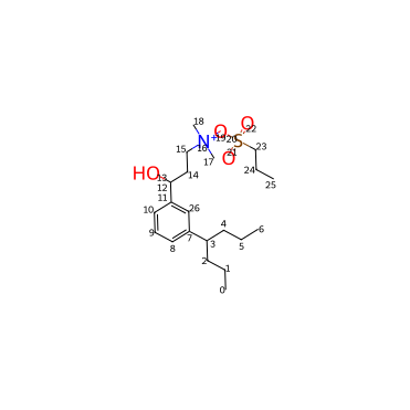 CCCC(CCC)c1cccc(C(O)CC[N+](C)(C)OS(=O)(=O)CCC)c1